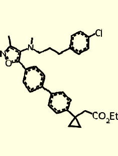 CCOC(=O)CC1(c2ccc(-c3ccc(-c4onc(C)c4N(C)CCCc4ccc(Cl)cc4)cc3)cc2)CC1